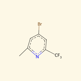 Cc1cc(Br)cc(C(F)(F)F)n1